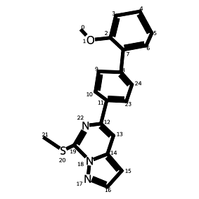 COc1ccccc1-c1ccc(-c2cc3ccnn3c(SC)n2)cc1